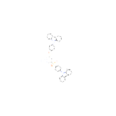 Cc1cccc2c3ccccc3n(-c3ccc(S(=O)(=O)C4CNCC(S(=O)(=O)c5ccc(-n6c7ccccc7c7cccc(C)c76)cc5)C4)cc3)c12